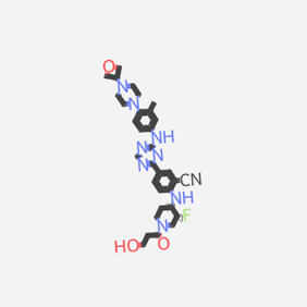 Cc1cc(Nc2ncnc(-c3ccc(N[C@H]4CCN(C(=O)CCO)C[C@H]4F)c(C#N)c3)n2)ccc1N1CCN(C2COC2)CC1